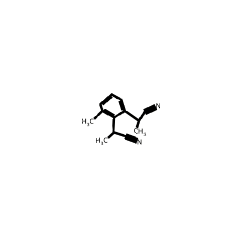 Cc1cccc(C(C)C#N)c1C(C)C#N